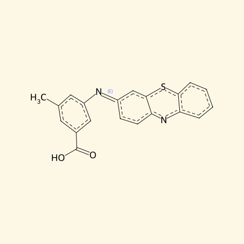 Cc1cc(/N=c2\ccc3nc4ccccc4sc-3c2)cc(C(=O)O)c1